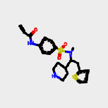 C=CC(=O)Nc1ccc(S(=O)(=O)N(C)C(Cc2cccs2)C2CCNCC2)cc1